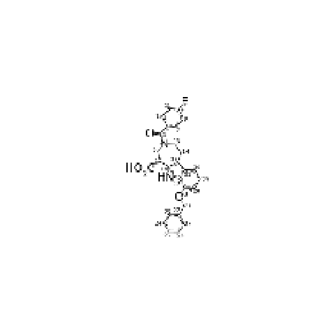 O=C(O)C1=CN(C(=O)c2ccc(F)cc2)CCc2c1[nH]c1c(OCc3ccccc3)cccc21